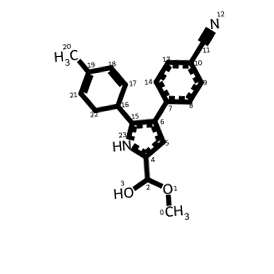 COC(O)c1cc(-c2ccc(C#N)cc2)c(C2C=CC(C)=CC2)[nH]1